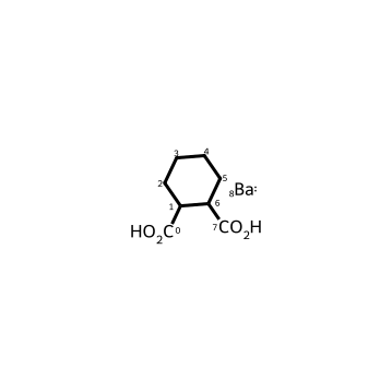 O=C(O)C1CCCCC1C(=O)O.[Ba]